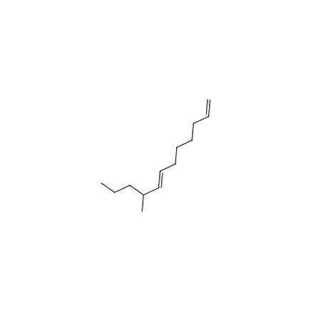 C=CCCCCC=CC(C)CCC